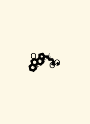 COC(=O)CC[C@@H](C)C1CCC2C3C(=O)CC4CCCC[C@]4(C)C3CC[C@@]21C